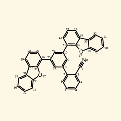 N#Cc1ccccc1-c1cc(-c2cccc3c2oc2ccccc23)cc(-c2cccc3c2oc2ccccc23)c1